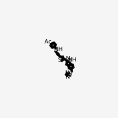 CC(=O)c1ccc(NCC#Cc2cc(-c3n[nH]c4c3Cc3cc(Cn5cncn5)ccc3-4)cs2)cc1